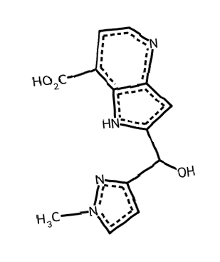 Cn1ccc(C(O)c2cc3nccc(C(=O)O)c3[nH]2)n1